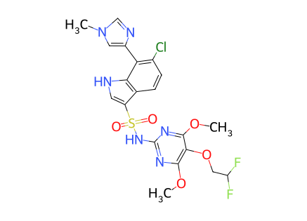 COc1nc(NS(=O)(=O)c2c[nH]c3c(-c4cn(C)cn4)c(Cl)ccc23)nc(OC)c1OCC(F)F